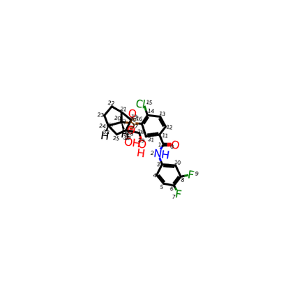 O=C(Nc1ccc(F)c(F)c1)c1ccc(Cl)c(S(=O)(=O)[C@H]2C3CC[C@H]2C[C@](O)(CO)C3)c1